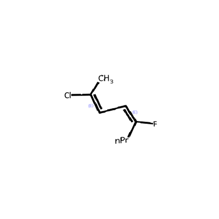 CCC/C(F)=C\C=C(/C)Cl